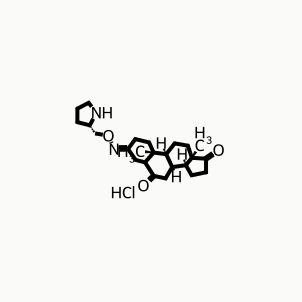 C[C@]12CC/C(=N\OC[C@@H]3CCCN3)CC1C(=O)C[C@@H]1[C@@H]2CC[C@]2(C)C(=O)CC[C@@H]12.Cl